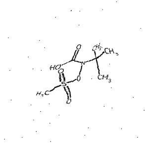 CC(C)(C)N(OS(C)(=O)=O)C(=O)O